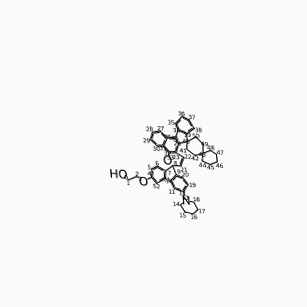 OCCOc1ccc(C2(c3ccc(N4CCCCC4)cc3)C=Cc3c4c(c5ccccc5c3O2)-c2ccccc2C42CCC3(CCCCC3)CC2)cc1